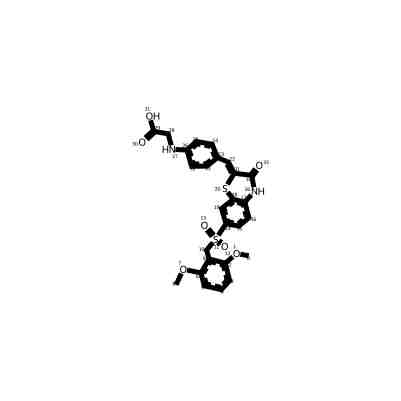 COc1cccc(OC)c1CS(=O)(=O)c1ccc2c(c1)SC(=Cc1ccc(NCC(=O)O)cc1)C(=O)N2